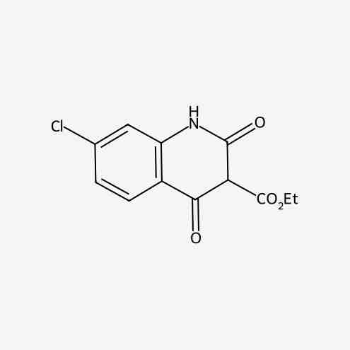 CCOC(=O)C1C(=O)Nc2cc(Cl)ccc2C1=O